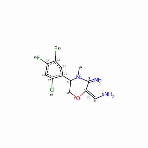 CN1C(=N)/C(=C\N)OCC1c1cc(F)c(F)cc1Cl